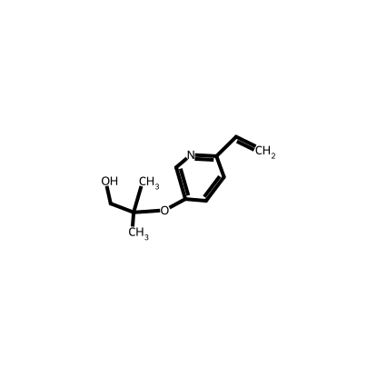 C=Cc1ccc(OC(C)(C)CO)cn1